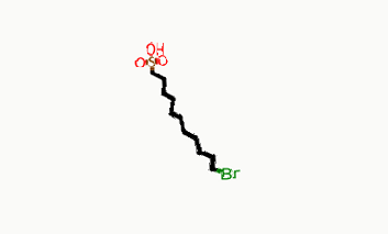 O=S(=O)(O)CCCCCCCCCCCBr